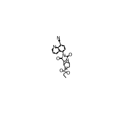 CCS(=O)(=O)N1CC2CC1C1C(=O)N(c3ccc(C#N)c4ncccc34)C(=O)N21